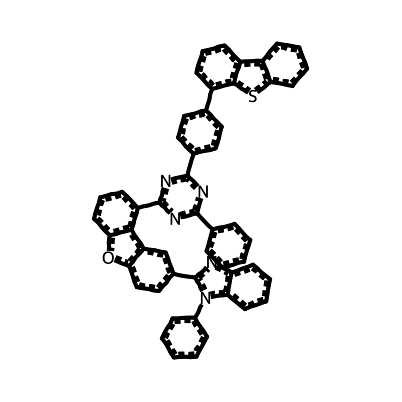 c1ccc(-c2nc(-c3ccc(-c4cccc5c4sc4ccccc45)cc3)nc(-c3cccc4oc5ccc(-c6nc7ccccc7n6-c6ccccc6)cc5c34)n2)cc1